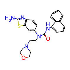 Nc1nc2ccc(N(CCN3CCOCC3)C(=O)Nc3cccc4ccccc34)cc2s1